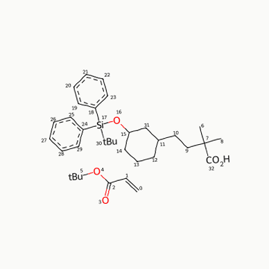 C=CC(=O)OC(C)(C)C.CC(C)(CCC1CCCC(O[Si](c2ccccc2)(c2ccccc2)C(C)(C)C)C1)C(=O)O